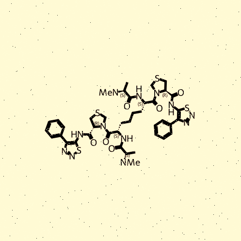 CN[C@@H](C)C(=O)N[C@@H](CCCC[C@H](NC(=O)[C@H](C)NC)C(=O)N1CSC[C@H]1C(=O)Nc1snnc1-c1ccccc1)C(=O)N1CSC[C@H]1C(=O)Nc1snnc1-c1ccccc1